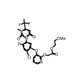 COCCOC(=O)COc1ncccc1Oc1cc(-n2c(=O)cc(C(C)(F)F)n(C)c2=O)c(F)cc1Cl